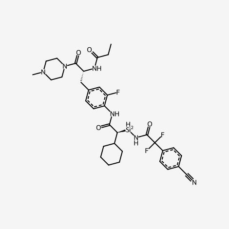 CCC(=O)N[C@H](Cc1ccc(NC(=O)[C@@H]([SiH2]NC(=O)C(F)(F)c2ccc(C#N)cc2)C2CCCCC2)c(F)c1)C(=O)N1CCN(C)CC1